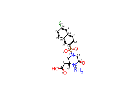 CC1(CC(=O)O)CN(S(=O)(=O)c2ccc3cc(Cl)ccc3c2)CC(=O)N1N